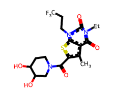 CCn1c(=O)c2c(C)c(C(=O)N3CCC(O)C(O)C3)sc2n(CCC(F)(F)F)c1=O